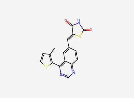 Cc1ccsc1-c1ncnc2ccc(/C=C3\SC(=O)NC3=O)cc12